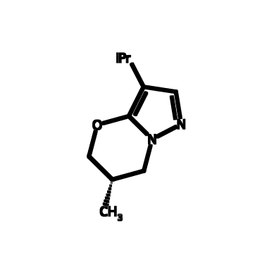 CC(C)c1cnn2c1OC[C@@H](C)C2